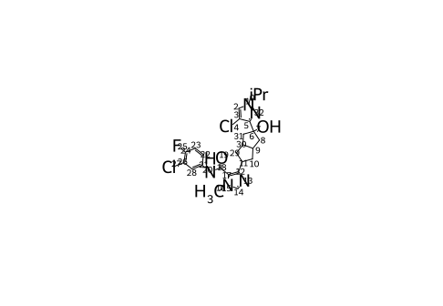 CC(C)n1cc(Cl)c(C2(O)CC3CC(c4ncn(C)c4C(=O)Nc4ccc(F)c(Cl)c4)CC3C2)n1